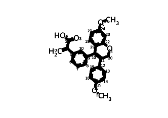 C=C(C(=O)O)c1cccc(C2=C(c3ccc(OC)cc3)COc3cc(OC)ccc32)c1